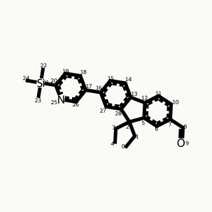 CCC1(CC)c2cc(C=O)ccc2-c2ccc(-c3ccc([Si](C)(C)C)nc3)cc21